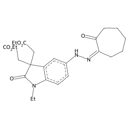 CCOC(=O)CC1(CC(=O)OCC)C(=O)N(CC)c2ccc(N/N=C3/CCCCCC3=O)cc21